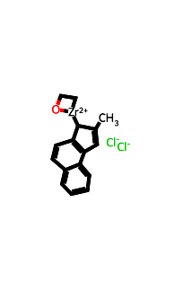 CC1=Cc2c(ccc3ccccc23)[CH]1[Zr+2]1[CH2]C[O]1.[Cl-].[Cl-]